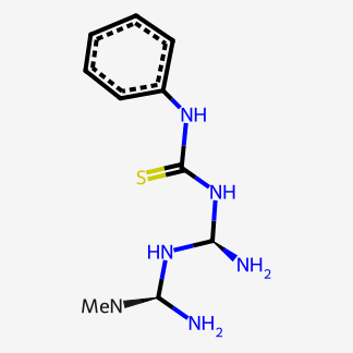 CN[C@H](N)N[C@H](N)NC(=S)Nc1ccccc1